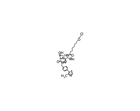 Cc1ncsc1-c1ccc(CNC(=O)[C@@H]2C[C@@H](O)CN2C(=O)C(NC(=O)CCCCCCCOCCCl)C(C)(C)C)cc1